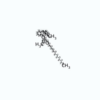 CCCCCCCCCCCCCCCCOCC(COCc1ccccc1Cn1cc[n+](CC)c1)OCC